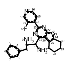 NC(Cc1ccccc1)C(N)c1nc(-c2ccncc2F)nc2sc3c(c12)CCCC3